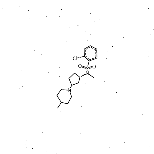 CC1CCN([C@H]2CC[C@@H](N(C)S(=O)(=O)c3ccccc3Cl)C2)CC1